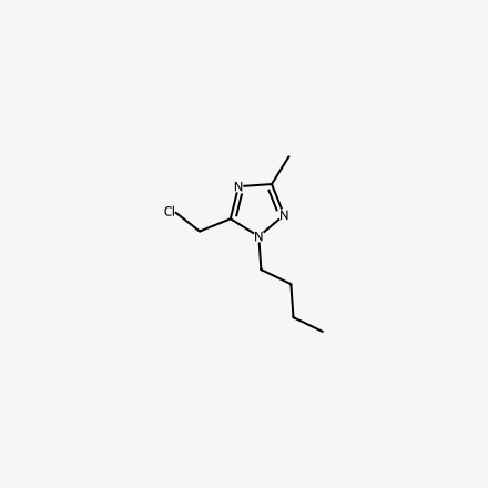 CCCCn1nc(C)nc1CCl